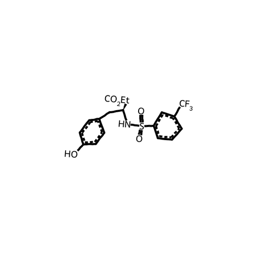 CCOC(=O)[C@H](Cc1ccc(O)cc1)NS(=O)(=O)c1cccc(C(F)(F)F)c1